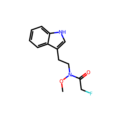 CON(CCc1c[nH]c2ccccc12)C(=O)CF